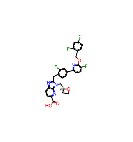 O=C(O)c1ccc2nc(Cc3ccc(-c4ccc(F)c(OCc5ccc(Cl)cc5F)n4)cc3F)n(C[C@@H]3CCO3)c2n1